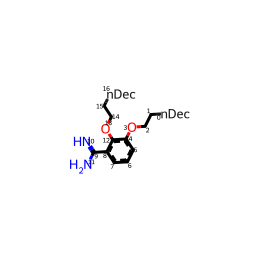 CCCCCCCCCCCCOc1cccc(C(=N)N)c1OCCCCCCCCCCCC